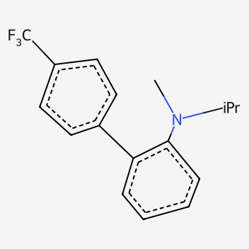 CC(C)N(C)c1ccccc1-c1ccc(C(F)(F)F)cc1